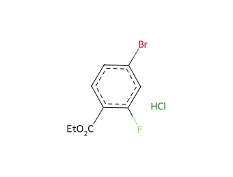 CCOC(=O)c1ccc(Br)cc1F.Cl